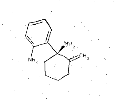 C=C1CCCC[C@]1(N)c1ccccc1N